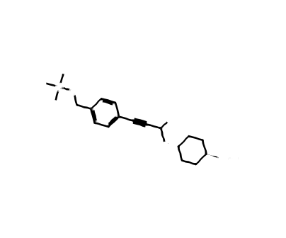 CCCCC[C@H]1CC[C@H](CC(O)C#Cc2ccc(CO[Si](C)(C)C)cc2)CC1